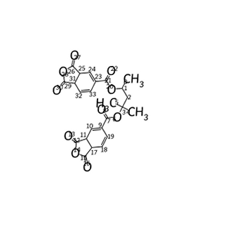 CC(CC(C)(C)OC(=O)C1=CC2C(=O)OC(=O)C2C=C1)OC(=O)C1=CC2C(=O)OC(=O)C2C=C1